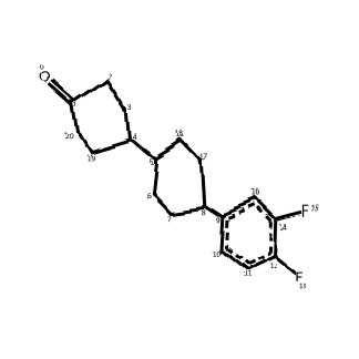 O=C1CCC(C2CCC(c3ccc(F)c(F)c3)CC2)CC1